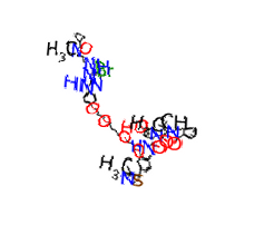 Cc1ncsc1-c1ccc(CNC(=O)[C@@H]2C[C@@H](O)CN2C(=O)C(C(C)C)N2Cc3ccccc3C2=O)c(OCCCOCCCCOCCCOc2ccc(Nc3ncc(Br)c(NCCCN(C)C(=O)C4CCC4)n3)cc2)c1